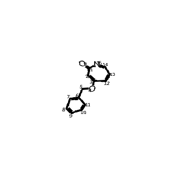 O=c1[c]c(OCc2ccccc2)cccn1